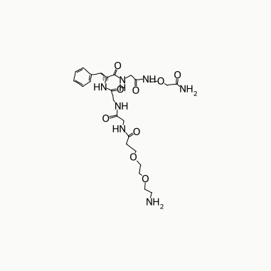 NCCOCCOCCC(=O)NCC(=O)NCC(=O)N[C@@H](Cc1ccccc1)C(=O)NCC(=O)NCOCC(N)=O